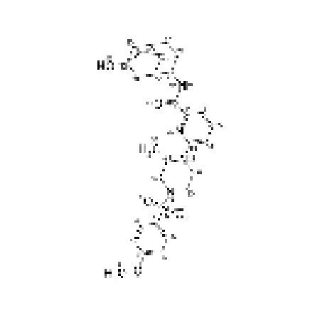 COc1ccc(S(=O)(=O)N2CCN(c3cccc(C(=O)NC4C5CC6CC4CC(O)(C6)C5)n3)C(C)C2)cc1